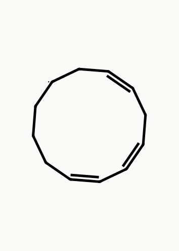 [CH]1CC=CCC=CC=CCCC1